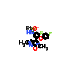 CC[S+]([O-])Nc1ccc(Oc2ccc(F)cc2F)c(-c2cn(C)c(=O)c3nn(C)cc23)c1